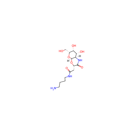 NCCCCNC(=O)C[C@@H]1O[C@H]2O[C@H](CO)[C@H](O)[C@H](O)[C@H]2NC1=O